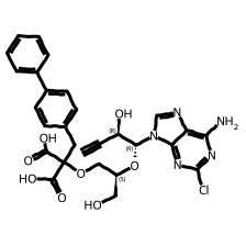 C#C[C@@H](O)[C@@H](O[C@@H](CO)COC(Cc1ccc(-c2ccccc2)cc1)(C(=O)O)C(=O)O)n1cnc2c(N)nc(Cl)nc21